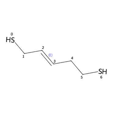 SC/C=C/CCS